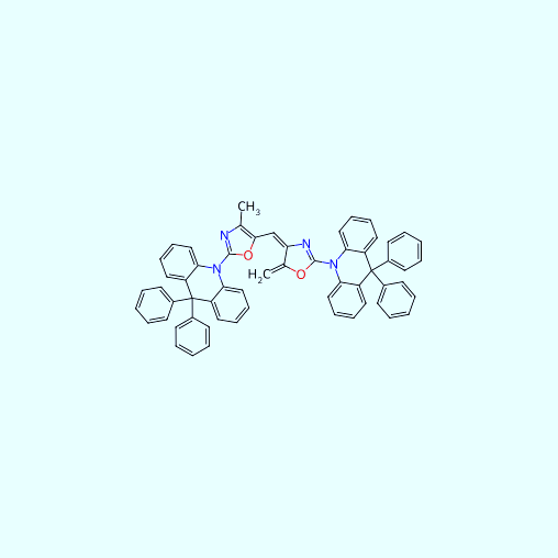 C=c1oc(N2c3ccccc3C(c3ccccc3)(c3ccccc3)c3ccccc32)n/c1=C/c1oc(N2c3ccccc3C(c3ccccc3)(c3ccccc3)c3ccccc32)nc1C